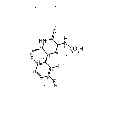 C[C@H]1NC(=O)C(NC(=O)O)C[C@H]1c1c(F)ccc(F)c1F